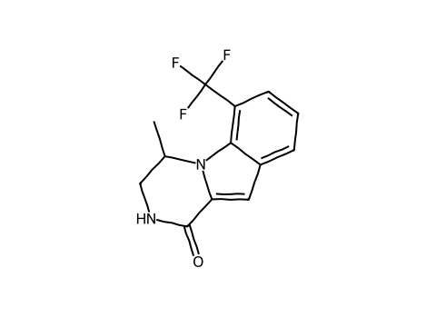 CC1CNC(=O)c2cc3cccc(C(F)(F)F)c3n21